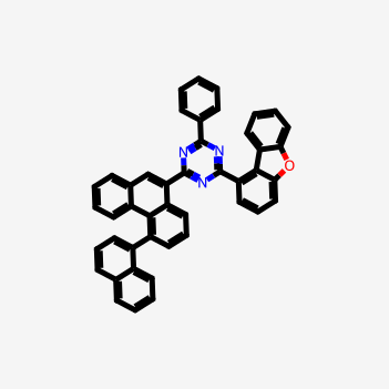 c1ccc(-c2nc(-c3cc4ccccc4c4c(-c5cccc6ccccc56)cccc34)nc(-c3cccc4oc5ccccc5c34)n2)cc1